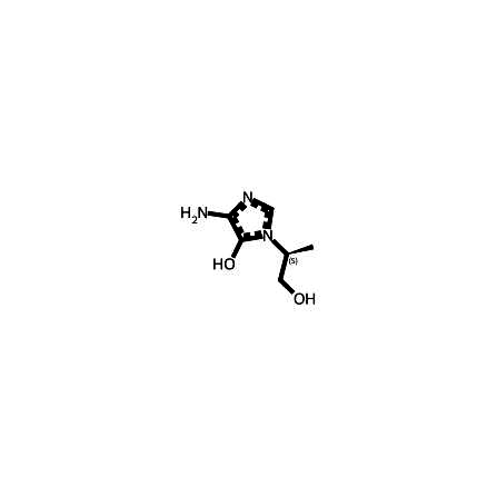 C[C@@H](CO)n1cnc(N)c1O